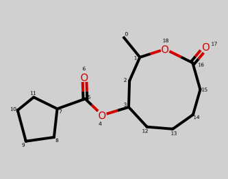 CC1CC(OC(=O)C2CCCC2)CCCCC(=O)O1